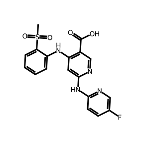 CS(=O)(=O)c1ccccc1Nc1cc(Nc2ccc(F)cn2)ncc1C(=O)O